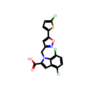 O=C(O)c1cc2c(Cl)ccc(Cl)c2n1Cc1cc(-c2ccc(Cl)s2)on1